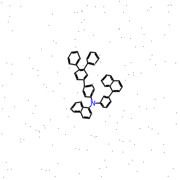 c1ccc(-c2ccc(-c3ccc(N(c4cccc(-c5cccc6ccccc56)c4)c4cccc5ccccc45)cc3)cc2-c2ccccc2)cc1